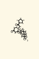 O=C1CCS(CC(=O)C2CCCC2)(OS(=O)(=O)C(F)(F)C(F)(F)C(F)(F)C(F)(F)F)CC1